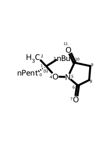 CCCCC[C@](C)(CCCC)ON1C(=O)CCC1=O